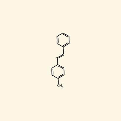 Cc1ccc([C]=Cc2ccccc2)cc1